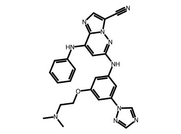 CN(C)CCOc1cc(Nc2cc(Nc3ccccc3)c3ncc(C#N)n3n2)cc(-n2cncn2)c1